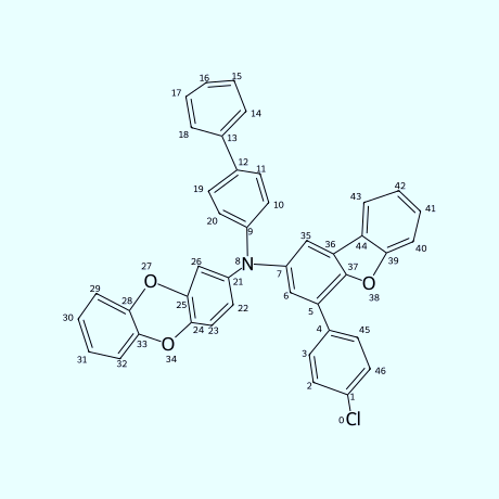 Clc1ccc(-c2cc(N(c3ccc(-c4ccccc4)cc3)c3ccc4c(c3)Oc3ccccc3O4)cc3c2oc2ccccc23)cc1